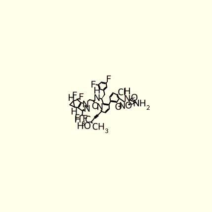 CC(C)(O)C#Cc1ccc(-c2ccc(Cl)c3c(NS(N)(=O)=O)noc23)c([C@H](Cc2cc(F)cc(F)c2)NC(=O)Cn2nc(C(F)F)c3c2C(F)(F)[C@@H]2C[C@H]32)n1